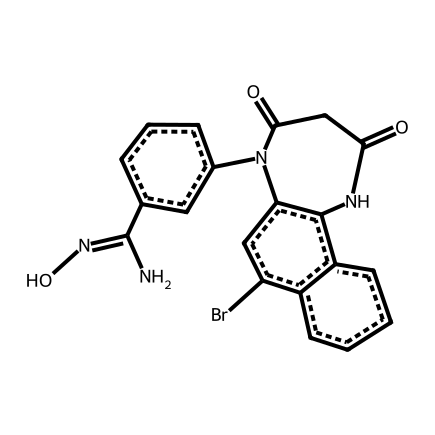 N/C(=N\O)c1cccc(N2C(=O)CC(=O)Nc3c2cc(Br)c2ccccc32)c1